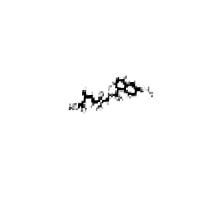 CC(CCS(=O)(=O)CNC(=O)c1cccc2cc(N)ccc12)C(=O)O